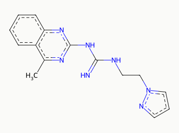 Cc1nc(NC(=N)NCCn2cccn2)nc2ccccc12